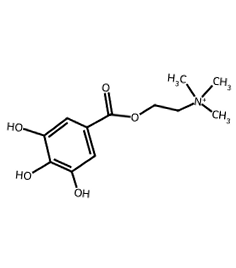 C[N+](C)(C)CCOC(=O)c1cc(O)c(O)c(O)c1